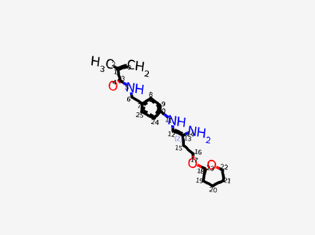 C=C(C)C(=O)NCc1ccc(N/C=C(\N)CCOC2CCCCO2)cc1